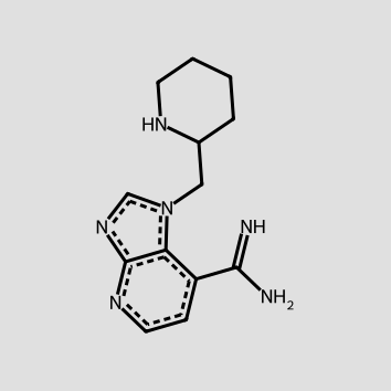 N=C(N)c1ccnc2ncn(CC3CCCCN3)c12